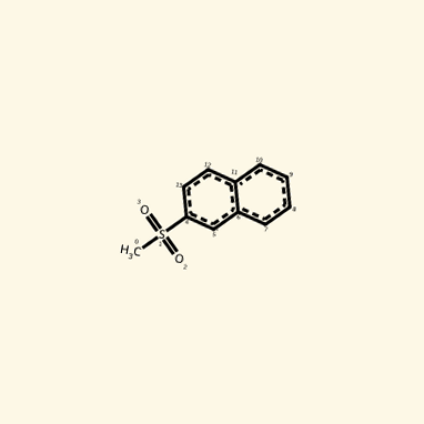 CS(=O)(=O)c1[c]c2ccccc2cc1